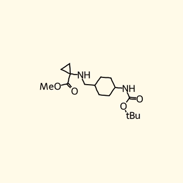 COC(=O)C1(NCC2CCC(NC(=O)OC(C)(C)C)CC2)CC1